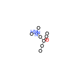 c1ccc(C2=NC(c3ccc(-c4cc(-c5ccc(-c6ccccc6)cc5)cc5oc6cc7ccccc7cc6c45)cc3)=NC(c3ccccc3)N2)cc1